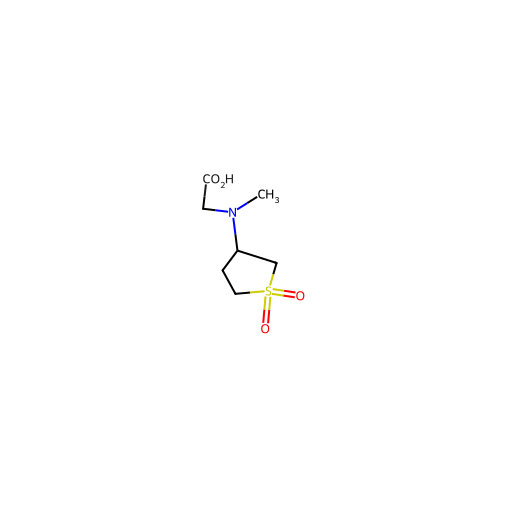 CN(CC(=O)O)C1CCS(=O)(=O)C1